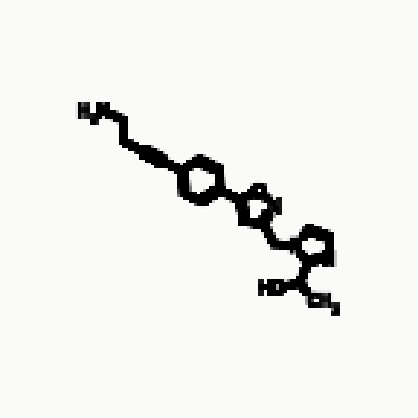 CC(O)c1nccn1Cc1cc(-c2ccc(C#CCCN)cc2)on1